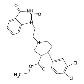 CCOC(=O)C1CN(CCn2c(=O)[nH]c(=O)c3ccccc32)CCC1c1ccc(Cl)c(Cl)c1